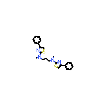 CN(CCCN(C)c1nc(-c2ccccc2)cs1)c1nc(-c2ccccc2)cs1